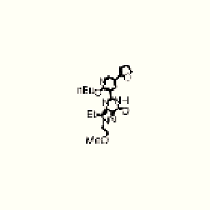 CCCCOc1ncc(C2CCCO2)cc1-c1nc2c(CC)n(CCOC)nc2c(=O)[nH]1